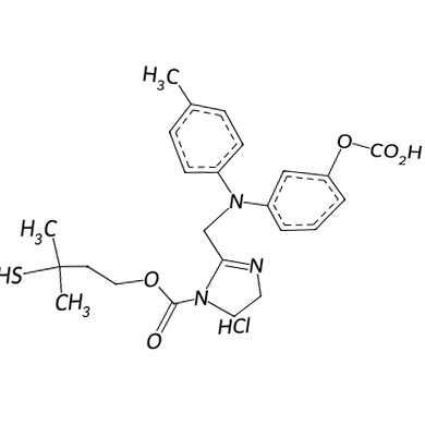 Cc1ccc(N(CC2=NCCN2C(=O)OCCC(C)(C)S)c2cccc(OC(=O)O)c2)cc1.Cl